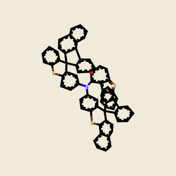 c1ccc2c(c1)Sc1ccc(N(c3ccc4c(c3)C3(c5ccccc5-c5ccccc53)c3ccc5ccccc5c3S4)c3cccc4sc5ccccc5c34)cc1C21c2ccccc2-c2c1ccc1ccccc21